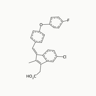 CC1=C(CC(=O)O)c2cc(Cl)ccc2/C1=C\c1ccc(Oc2ccc(F)cc2)cc1